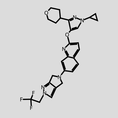 FC(F)(F)Cn1cc2c(n1)CN(c1ccc3ccc(Oc4cn(C5CC5)nc4C4CCOCC4)nc3c1)C2